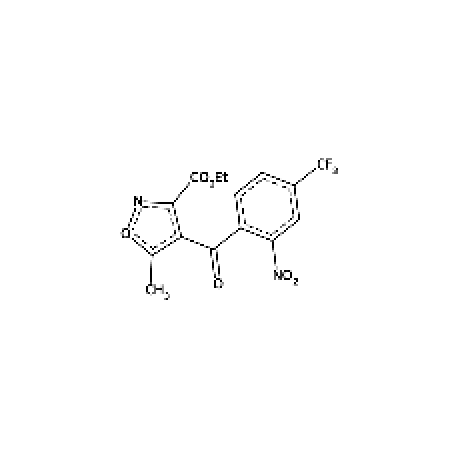 CCOC(=O)c1noc(C)c1C(=O)c1ccc(C(F)(F)F)cc1[N+](=O)[O-]